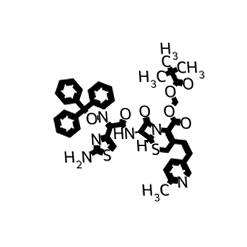 Cc1ccc(/C=C\C2=C(C(=O)OCOC(=O)C(C)(C)C)N3C(=O)[C@@H](NC(=O)/C(=N/OC(c4ccccc4)(c4ccccc4)c4ccccc4)c4csc(N)n4)[C@H]3SC2)cn1